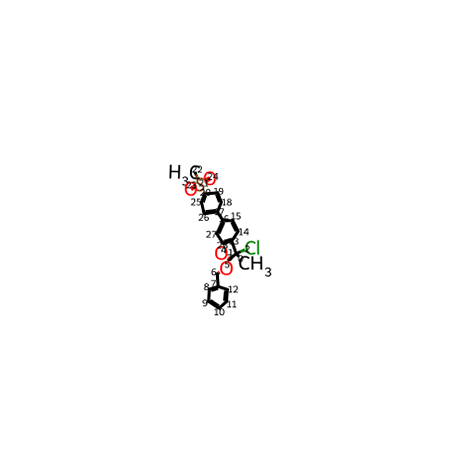 CC(Cl)(C(=O)OCc1ccccc1)c1ccc(-c2ccc(S(C)(=O)=O)cc2)cc1